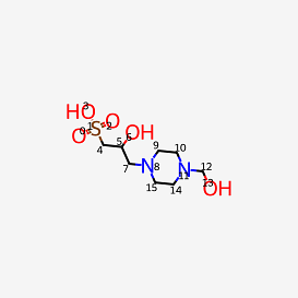 O=S(=O)(O)CC(O)CN1CCN(CO)CC1